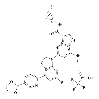 CNc1cc(N2CCc3c(-c4ccc(C5OCCO5)cn4)cc(F)cc32)nn2c(C(=O)N[C@@H]3C[C@@H]3F)cnc12.O=C(O)C(F)(F)F